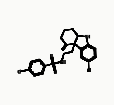 C=C1CCCC2Nc3ccc(Cl)cc3C12CCNS(=O)(=O)c1ccc(Cl)cc1